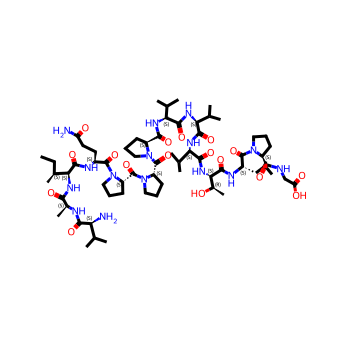 CC[C@H](C)[C@H](NC(=O)[C@H](C)NC(=O)[C@@H](N)C(C)C)C(=O)N[C@@H](CCC(N)=O)C(=O)N1CCC[C@H]1C(=O)N1CCC[C@H]1C(=O)N1CCC[C@H]1C(=O)N[C@H](C(=O)N[C@H](C(=O)N[C@H](C(=O)N[C@H](C(=O)N[C@@H](CC(C)C)C(=O)N1CCC[C@H]1C(=O)NCC(=O)O)[C@@H](C)O)C(C)C)C(C)C)C(C)C